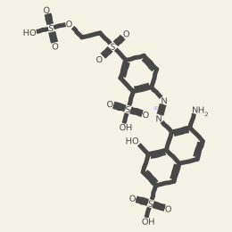 Nc1ccc2cc(S(=O)(=O)O)cc(O)c2c1/N=N/c1ccc(S(=O)(=O)CCOS(=O)(=O)O)cc1S(=O)(=O)O